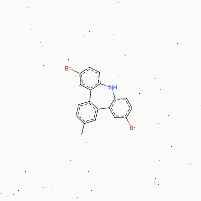 Cc1ccc2c(c1)-c1cc(Br)ccc1Nc1ccc(Br)cc1-2